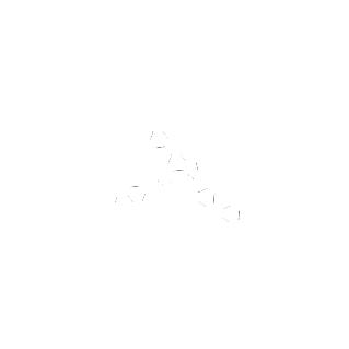 O=C(O)c1ccc(CNC(=O)c2cc(-c3ccc(F)c(F)c3)cc3ccn(Cc4ccc(-c5ccc(F)cc5)cc4)c23)cc1